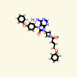 Nc1ncnc2c1n(-c1ccc(Oc3ccccc3)cc1)c(=O)n2C1CN(C(=O)C=CCOc2ccccc2)C1